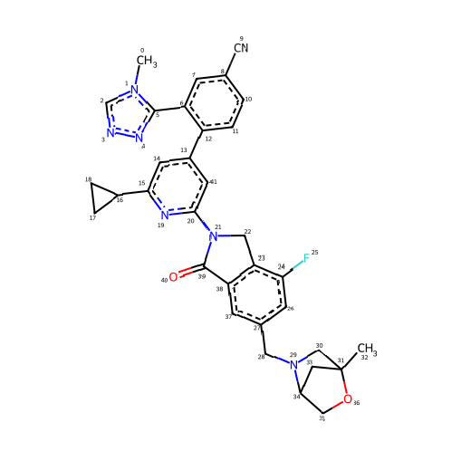 Cn1cnnc1-c1cc(C#N)ccc1-c1cc(C2CC2)nc(N2Cc3c(F)cc(CN4CC5(C)CC4CO5)cc3C2=O)c1